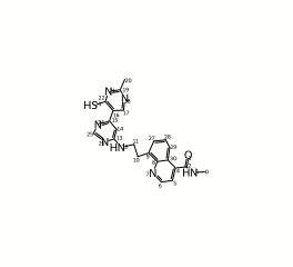 CNC(=O)c1ccnc2c(CCNc3cc(-c4cnc(C)nc4S)ncn3)cccc12